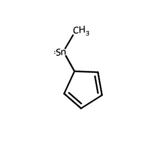 [CH3][Sn][CH]1C=CC=C1